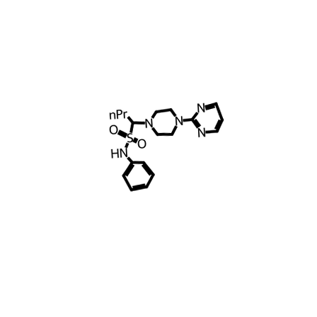 [CH2]CCC(N1CCN(c2ncccn2)CC1)S(=O)(=O)Nc1ccccc1